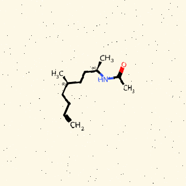 C=CCC[C@@H](C)CC[C@@H](C)NC(C)=O